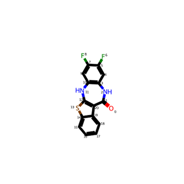 O=C1Nc2cc(F)c(F)cc2Nc2sc3ccccc3c21